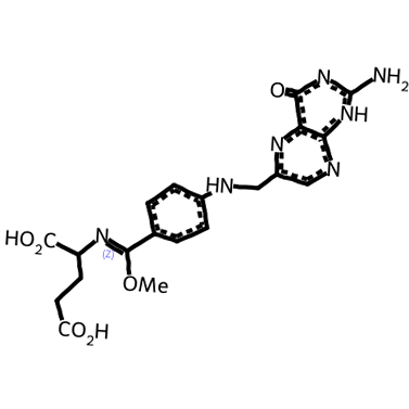 CO/C(=N\C(CCC(=O)O)C(=O)O)c1ccc(NCc2cnc3[nH]c(N)nc(=O)c3n2)cc1